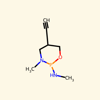 C#CC1COP(NC)N(C)C1